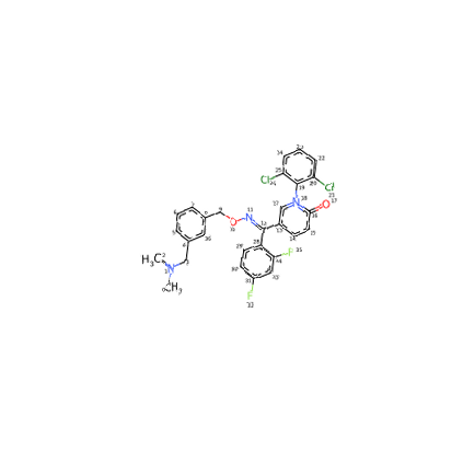 CN(C)Cc1cccc(CON=C(c2ccc(=O)n(-c3c(Cl)cccc3Cl)c2)c2ccc(F)cc2F)c1